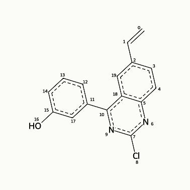 C=Cc1ccc2nc(Cl)nc(-c3cccc(O)c3)c2c1